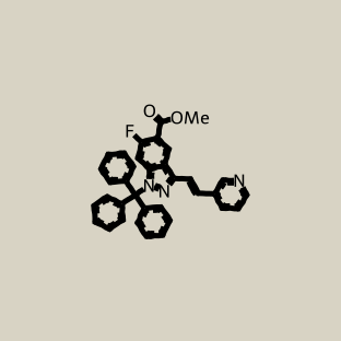 COC(=O)c1cc2c(/C=C/c3cccnc3)nn(C(c3ccccc3)(c3ccccc3)c3ccccc3)c2cc1F